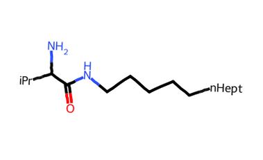 CCCCCCCCCCCCNC(=O)C(N)C(C)C